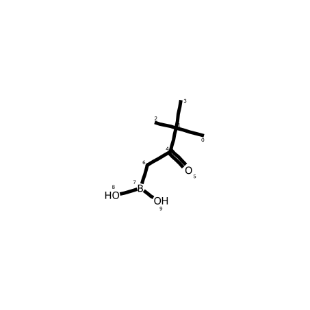 CC(C)(C)C(=O)CB(O)O